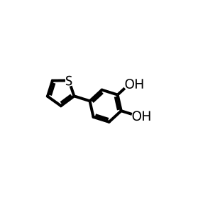 Oc1ccc(-c2cccs2)cc1O